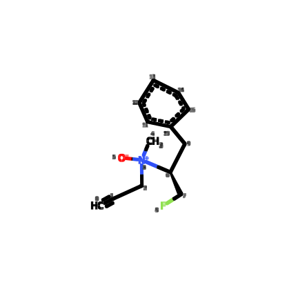 C#CC[N+](C)([O-])[C@H](CF)Cc1ccccc1